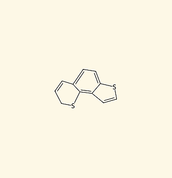 C1=Cc2ccc3sccc3c2SC1